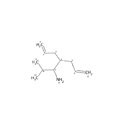 C=CCC(CC=C)C(N)C(C)C